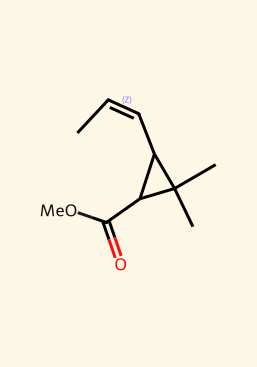 C/C=C\C1C(C(=O)OC)C1(C)C